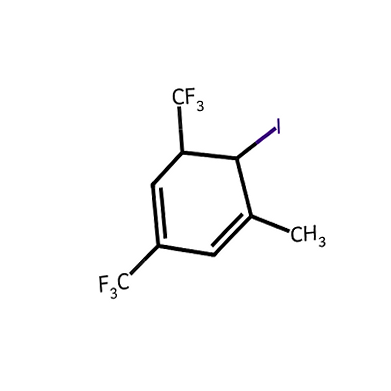 CC1=CC(C(F)(F)F)=CC(C(F)(F)F)C1I